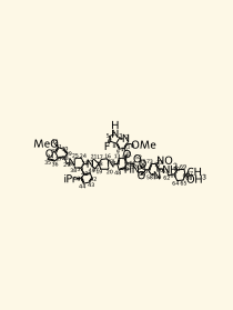 COc1nc2[nH]cc(F)c2cc1Oc1cc(N2CCC3(CC2)CN(C2CCN(Cc4ccc(OC)c5occc45)CC2c2ccccc2C(C)C)C3)ccc1C(=O)NS(=O)(=O)c1cnc(NCC2CCC(C)(O)CC2)c([N+](=O)[O-])c1